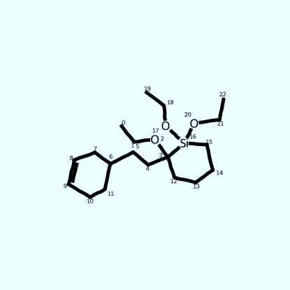 CCOC1(CCC2CC=CCC2)CCCC[Si]1(OCC)OCC